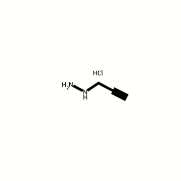 C#CCNN.Cl